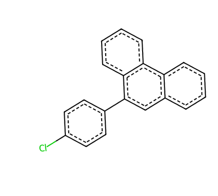 Clc1ccc(-c2cc3ccccc3c3ccccc23)cc1